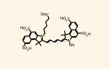 CCCN1/C(=C/C=C/C=C/C2=[N+](CCCCCC=O)c3cc(S(=O)(=O)O)c4ccc(S(=O)(=O)O)cc4c3C2(C)C)C(C)(C)c2c1cc(S(=O)(=O)O)c1ccc(S(=O)(=O)O)cc21